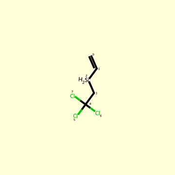 C=C[SiH2]CC(Cl)(Cl)Cl